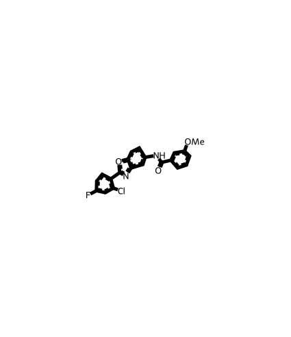 COc1cccc(C(=O)Nc2ccc3oc(-c4ccc(F)cc4Cl)nc3c2)c1